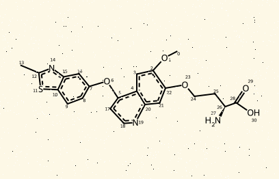 COc1cc2c(Oc3ccc4sc(C)nc4c3)ccnc2cc1OCC[C@H](N)C(=O)O